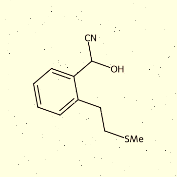 CSCCc1ccccc1C(O)C#N